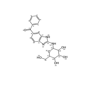 O=C(c1ccccc1)c1ccc2nc(NC3OC(CO)C(O)C(O)C3O)[nH]c2c1